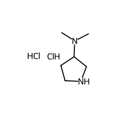 CN(C)C1CCNC1.Cl.Cl